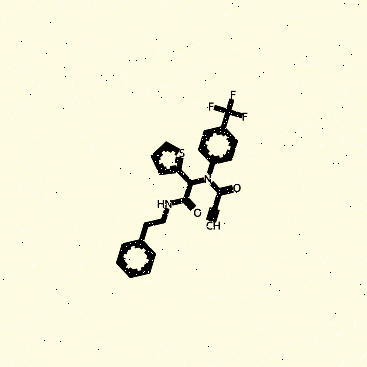 C#CC(=O)N(c1ccc(C(F)(F)F)cc1)C(C(=O)NCCc1ccccc1)c1cccs1